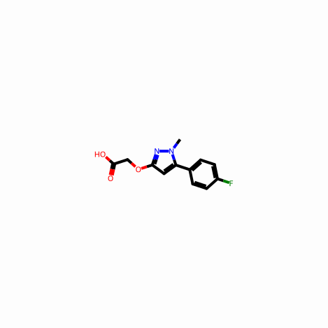 Cn1nc(OCC(=O)O)cc1-c1ccc(F)cc1